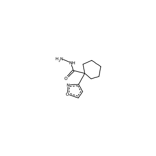 NNC(=O)C1(c2ccon2)CCCCC1